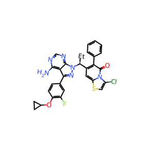 CC[C@@H](c1cc2scc(Cl)n2c(=O)c1-c1ccccc1)n1nc(-c2ccc(OC3CC3)c(F)c2)c2c(N)ncnc21